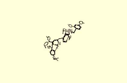 COC(=O)c1cc(Cc2ccnc(NCc3ccc(OC)cc3OC)c2F)ncc1Nc1ccc([Si](C)(C)C)cc1F